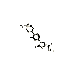 NC(=O)[C@H]1CN(c2ccc(C3CC[SH](N)(=O)CC3)c(F)c2)C(=O)O1